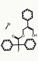 CBr.O=C(OCC(=CO)c1ccccc1)C(F)(c1ccccc1)c1ccccc1